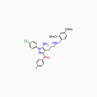 COc1ccc(CNCCCc2c(C(=O)c3ccc(C)cc3)nn(-c3ccc(Cl)cc3)c2N)c(OC)c1